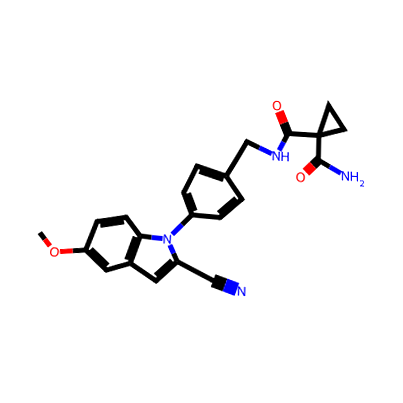 COc1ccc2c(c1)cc(C#N)n2-c1ccc(CNC(=O)C2(C(N)=O)CC2)cc1